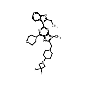 CCc1nc2ccccc2n1-c1nc(N2CCOCC2)c2nc(CN3CCC(N4CC(F)(F)C4)CC3)n(C)c2n1